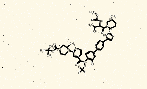 COC(=O)NC(C(=O)N1C[C@@H](C)CC[C@H]1c1ncc(-c2ccc(-c3ccc(N(OC(F)(F)F)C(=O)c4ccnc(N5CCN(C(=O)OC(C)(C)C)CC5C)c4)c(Cl)c3)cc2)[nH]1)C(C)C